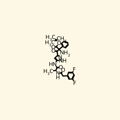 CC(NC(=O)Cc1cc(F)cc(F)c1)C(=O)Nc1cc(C(=O)C(N)(C(=O)OC(C)(C)C)c2ccccc2)n[nH]1